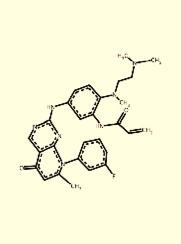 C=CC(=O)Nc1cc(Nc2ncc3c(=O)cc(C)n(-c4cccc(F)c4)c3n2)ccc1N(C)CCN(C)C